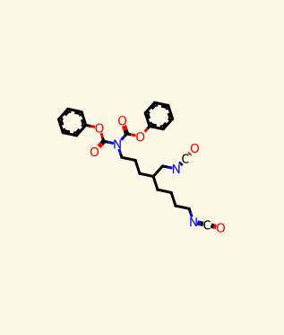 O=C=NCCCCC(CCCN(C(=O)Oc1ccccc1)C(=O)Oc1ccccc1)CN=C=O